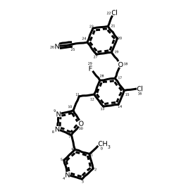 Cc1ccncc1-c1nnc(Cc2ccc(Cl)c(Oc3cc(Cl)cc(C#N)c3)c2F)o1